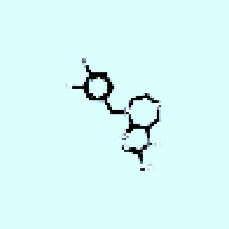 O=C(O)NC1CSCCN(Cc2ccc(F)c(F)c2)C1=O